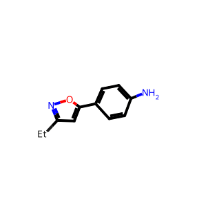 CCc1cc(-c2ccc(N)cc2)on1